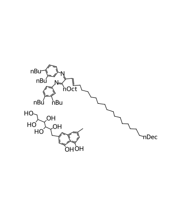 CCCCCCCCCCCCCCCCCCCCCCCCCCC=CC(=Nc1ccc(CCCC)c(CCCC)c1)C(CCCCCCCC)=Nc1ccc(CCCC)c(CCCC)c1.Cc1cc(O)c2c(O)cc(CC(O)C(O)C(O)C(O)CO)cc2c1